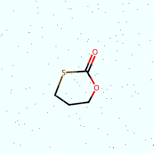 O=C1OCCCS1